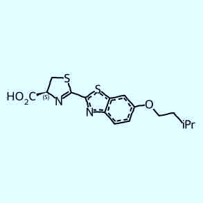 CC(C)CCOc1ccc2nc(C3=N[C@@H](C(=O)O)CS3)sc2c1